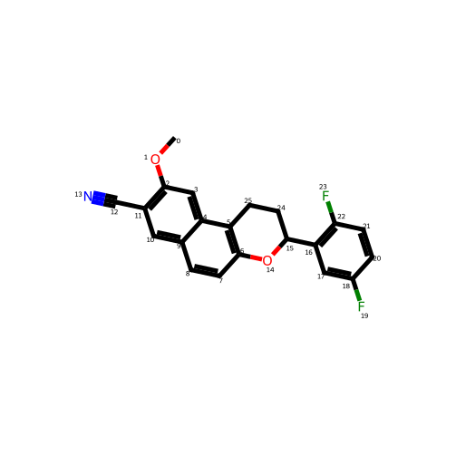 COc1cc2c3c(ccc2cc1C#N)OC(c1cc(F)ccc1F)CC3